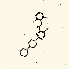 Fc1cccc(F)c1CNc1nc(N2CCC(N3CCCCC3)CC2)ncc1Br